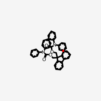 O=C(OCC1(COC(=O)N(c2ccccc2)c2ccccc2)c2ccccc2-c2ccccc21)N(c1ccccc1)c1ccccc1